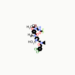 Cc1cc2c(cc1C(=O)N(C(C)C)[C@@H]1CC[C@H](CCN(C(=O)Cc3ccc(Cl)c(Cl)c3)C3CC3)N(C(=O)O)C1)N(CCNC(=O)C(F)F)C(=O)C(C)(C)O2